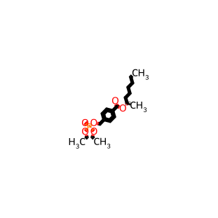 CCCCCC[C@@H](C)OC(=O)c1ccc(COP(=O)(OCC)OCC)cc1